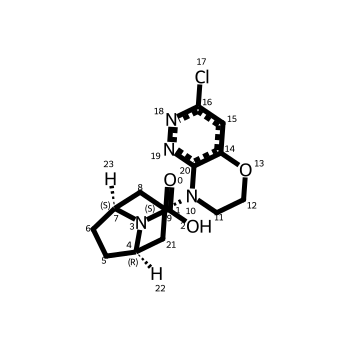 O=C(O)N1[C@@H]2CC[C@H]1C[C@H](N1CCOc3cc(Cl)nnc31)C2